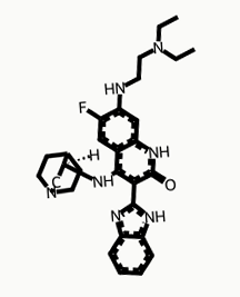 CCN(CC)CCNc1cc2[nH]c(=O)c(-c3nc4ccccc4[nH]3)c(N[C@H]3CN4CCC3CC4)c2cc1F